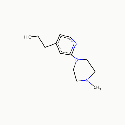 CCCc1ccnc(N2CCN(C)CC2)c1